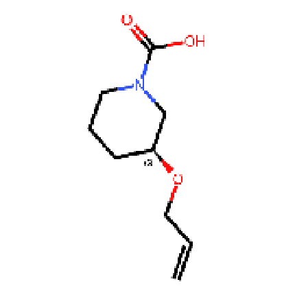 C=CCO[C@H]1CCCN(C(=O)O)C1